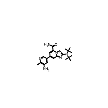 Cc1ncc(-c2cc(C(N)=O)n3nc(N(C(C)(C)C)C(C)(C)C)nc3c2)cc1N